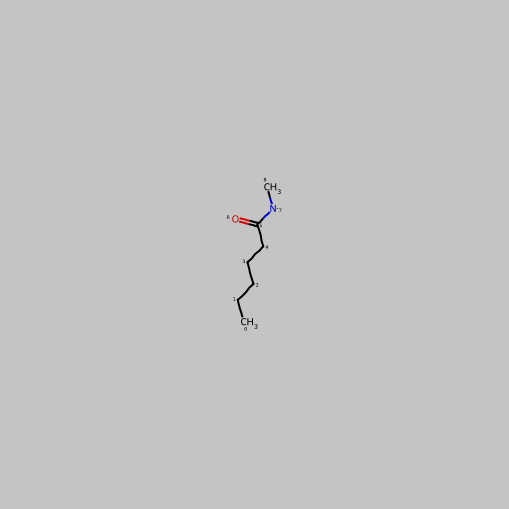 CCCCCC(=O)[N]C